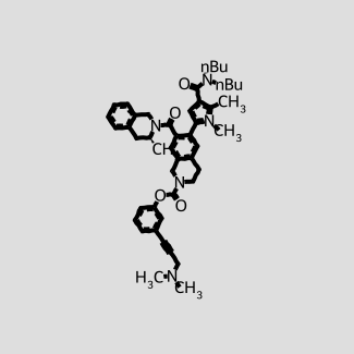 CCCCN(CCCC)C(=O)c1cc(-c2cc3c(cc2C(=O)N2Cc4ccccc4C[C@H]2C)CN(C(=O)Oc2cccc(C#CCN(C)C)c2)CC3)n(C)c1C